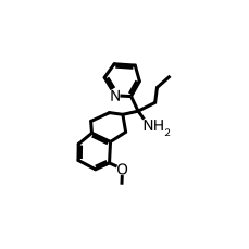 CCCC(N)(c1ccccn1)C1CCc2cccc(OC)c2C1